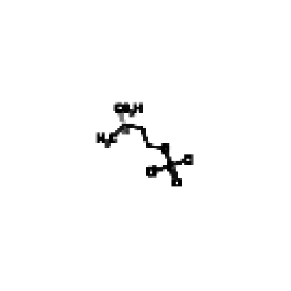 C[C@@H](CCOP(=O)(Cl)Cl)C(=O)O